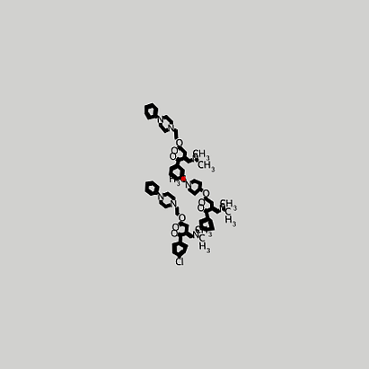 CN(C)C=C(CC(=O)OC1CCN(C)CC1)C(=O)c1ccccc1.CN(C)C=C(CC(=O)OCCN1CCN(c2ccccc2)CC1)C(=O)c1ccc(Cl)cc1.CN(C)C=C(CC(=O)OCCN1CCN(c2ccccc2)CC1)C(=O)c1ccccc1